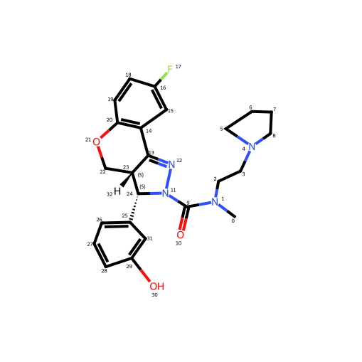 CN(CCN1CCCC1)C(=O)N1N=C2c3cc(F)ccc3OC[C@H]2[C@H]1c1cccc(O)c1